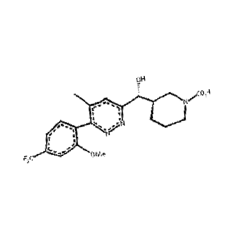 COc1cc(C(F)(F)F)ccc1-c1nnc([C@H](O)[C@@H]2CCCN(C(=O)O)C2)cc1C